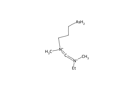 CC[N+](C)=C=[N+](C)CCC[AsH2]